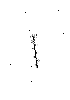 CCCC(=O)CCC(=O)CCC(=O)CCC(=O)CCC(=O)CCC(=O)CCC(=O)CCC(=O)C(=O)O